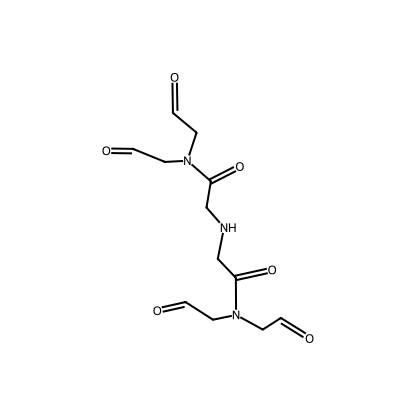 O=CCN(CC=O)C(=O)CNCC(=O)N(CC=O)CC=O